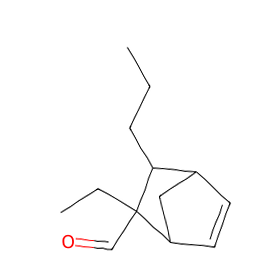 CCCC1C2C=CC(C2)C1(C=O)CC